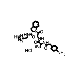 CCC(C)C(NC(=O)Cc1ccc(N)cc1)C(=O)NCC(=O)N1c2ccccc2C[C@H]1C(=O)NCc1nn[nH]n1.Cl